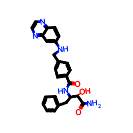 NC(=O)[C@@H](O)C(Cc1ccccc1)NC(=O)c1ccc(CNc2ccc3nccnc3c2)cc1